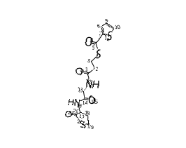 O=C(CCSC(=O)c1cccs1)NCC(=O)NC1CCSC1=O